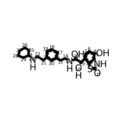 O=c1[nH]c2c(O)ccc(C(O)C(O)NCCc3cccc(CCNC4CCCCC4)c3)c2s1